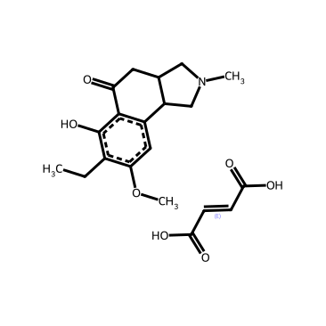 CCc1c(OC)cc2c(c1O)C(=O)CC1CN(C)CC21.O=C(O)/C=C/C(=O)O